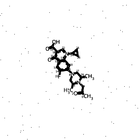 CC(=O)CN1C(C)CN(c2cc3c(cc2F)c(=O)c(C(=O)O)cn3C2CC2)CC1C